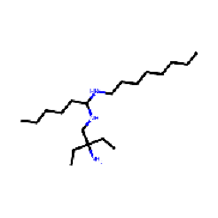 CCCCCCCCNC(CCCCC)NCC(N)(CC)CC